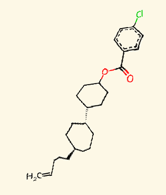 C=CCC[C@H]1CC[C@H](C2CCC(OC(=O)c3ccc(Cl)cc3)CC2)CC1